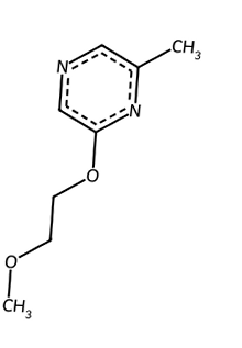 COCCOc1cncc(C)n1